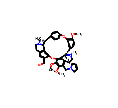 COc1ccc2cc1Oc1ccc(cc1)C[C@H]1c3cc(c(CO)cc3CCN1C)Oc1c(OC)c(OC)c(CN3CC=CC3)c3c1[C@H](C2)N(C)CC3